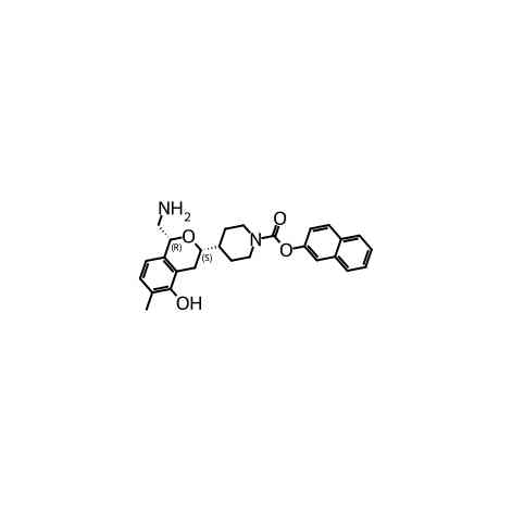 Cc1ccc2c(c1O)C[C@@H](C1CCN(C(=O)Oc3ccc4ccccc4c3)CC1)O[C@H]2CN